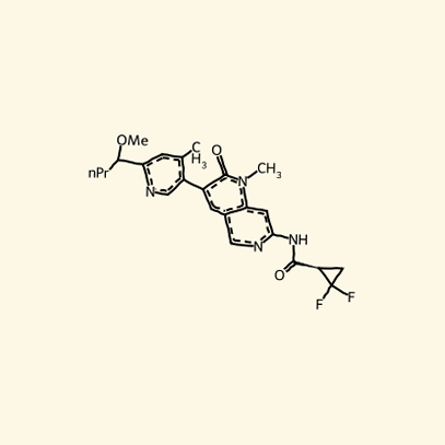 CCCC(OC)c1cc(C)c(-c2cc3cnc(NC(=O)[C@H]4CC4(F)F)cc3n(C)c2=O)cn1